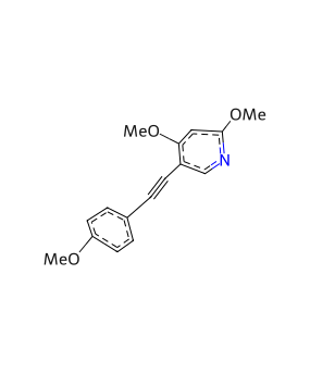 COc1ccc(C#Cc2cnc(OC)cc2OC)cc1